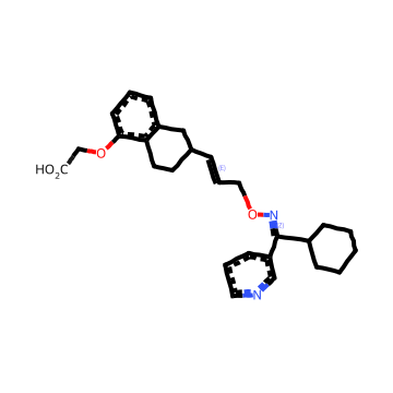 O=C(O)COc1cccc2c1CCC(/C=C/CO/N=C(\c1cccnc1)C1CCCCC1)C2